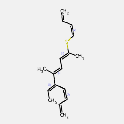 C=C/C=C\S/C(C)=C/C=C(C)/C(/C=C\C=C)=C/C